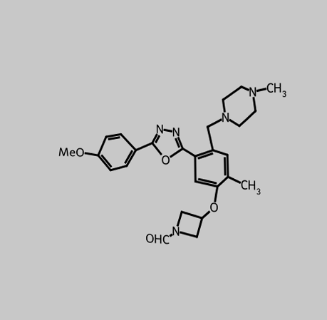 COc1ccc(-c2nnc(-c3cc(OC4CN(C=O)C4)c(C)cc3CN3CCN(C)CC3)o2)cc1